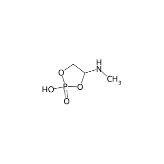 CNC1COP(=O)(O)O1